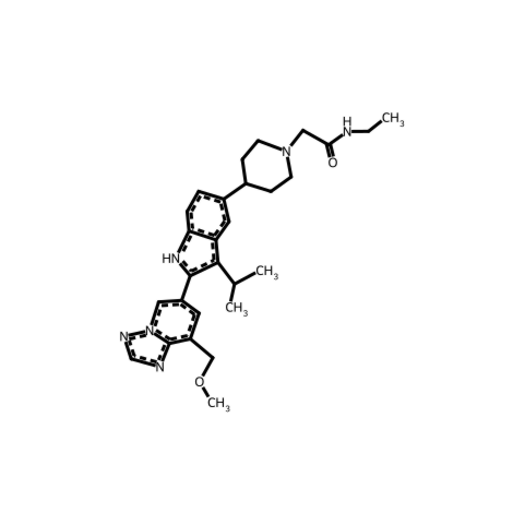 CCNC(=O)CN1CCC(c2ccc3[nH]c(-c4cc(COC)c5ncnn5c4)c(C(C)C)c3c2)CC1